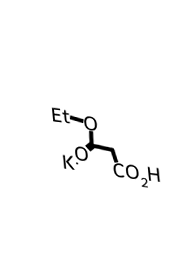 CCOC(=O)CC(=O)O.[K]